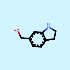 OCc1ccc2c(c1)NCC2